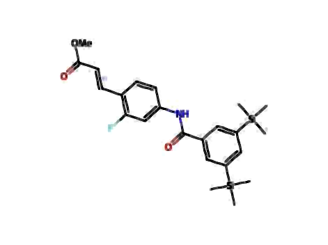 COC(=O)/C=C/c1ccc(NC(=O)c2cc([Si](C)(C)C)cc([Si](C)(C)C)c2)cc1F